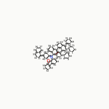 c1ccc(-c2c(-c3ccccc3)c(-c3ccccc3)c3c(-c4ccc(N(c5ccc(-c6cccc7ccccc67)cc5)c5cccc6c5oc5ccccc56)c5ccccc45)cccc3c2-c2ccccc2)cc1